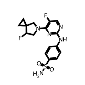 NS(=O)(=O)c1ccc(Nc2ncc(F)c(N3CC(F)C4(CC4)C3)n2)cc1